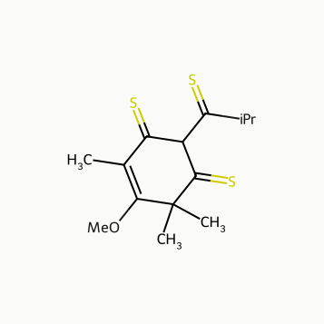 COC1=C(C)C(=S)C(C(=S)C(C)C)C(=S)C1(C)C